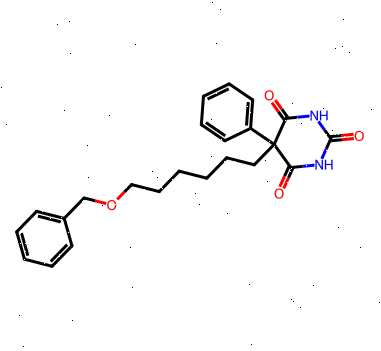 O=C1NC(=O)C(CCCCCCOCc2ccccc2)(c2ccccc2)C(=O)N1